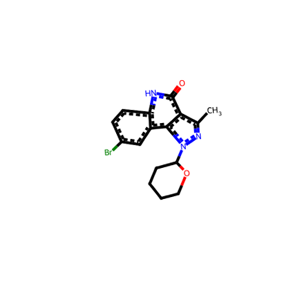 Cc1nn(C2CCCCO2)c2c1c(=O)[nH]c1ccc(Br)cc12